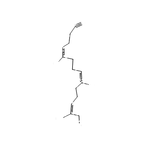 C#CCCC=C(C)CCC=C(C)CCC=C(C)CO